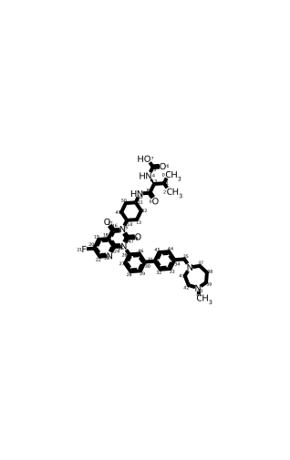 CC(C)[C@H](NC(=O)O)C(=O)NC1CCC(n2c(=O)c3cc(F)cnc3n(-c3cccc(-c4ccc(CN5CCCN(C)CC5)cc4)c3)c2=O)CC1